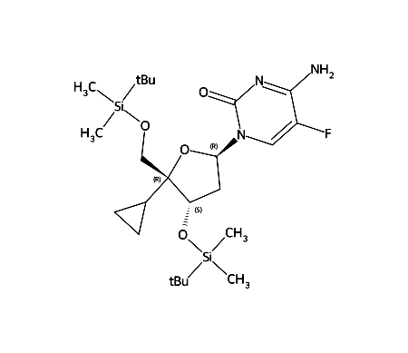 CC(C)(C)[Si](C)(C)OC[C@@]1(C2CC2)O[C@@H](n2cc(F)c(N)nc2=O)C[C@@H]1O[Si](C)(C)C(C)(C)C